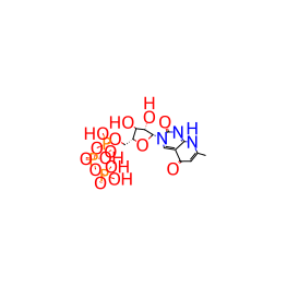 Cc1cc(=O)c2cn([C@@H]3O[C@H](COP(=O)(O)OP(=O)(O)OP(=O)(O)O)C(O)[C@@H]3O)c(=O)nc2[nH]1